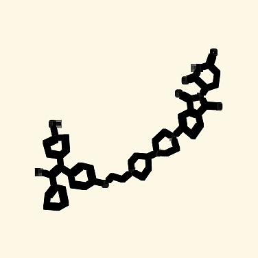 CC/C(=C(\c1ccc(O)cc1)c1ccc(OCCN2CCC(N3CCN(c4ccc5c(c4)C(=O)N(C4CCC(=O)NC4=O)C5=O)CC3)CC2)cc1)c1ccccc1